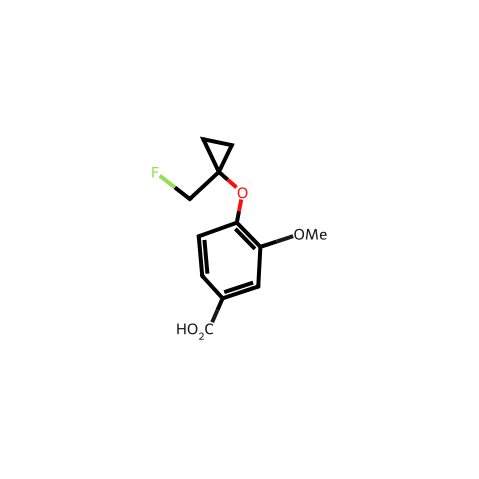 COc1cc(C(=O)O)ccc1OC1(CF)CC1